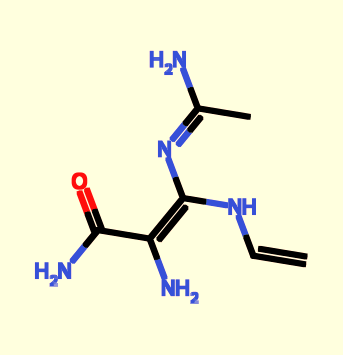 C=CNC(/N=C(\C)N)=C(\N)C(N)=O